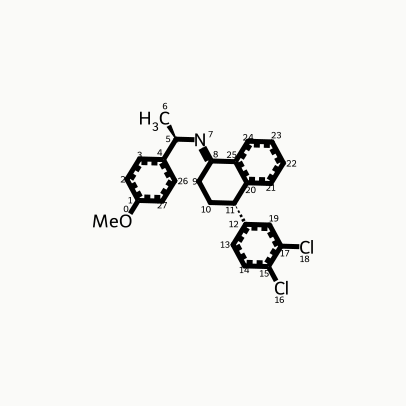 COc1ccc([C@@H](C)/N=C2\CC[C@@H](c3ccc(Cl)c(Cl)c3)c3ccccc32)cc1